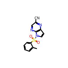 Cc1ccccc1S(=O)(=O)n1ccc2nc(C#N)cnc21